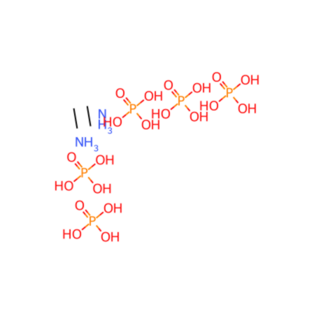 CC.CC.N.N.O=P(O)(O)O.O=P(O)(O)O.O=P(O)(O)O.O=P(O)(O)O.O=P(O)(O)O